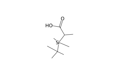 CC(C(=O)O)[Si](C)(C)C(C)(C)C